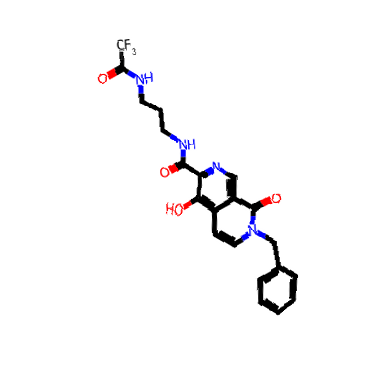 O=C(NCCCNC(=O)C(F)(F)F)c1ncc2c(=O)n(Cc3ccccc3)ccc2c1O